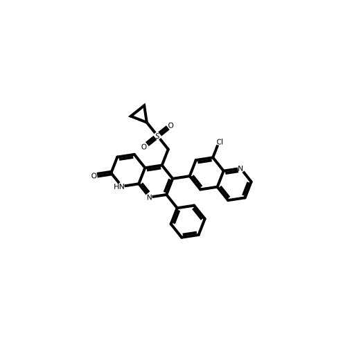 O=c1ccc2c(CS(=O)(=O)C3CC3)c(-c3cc(Cl)c4ncccc4c3)c(-c3ccccc3)nc2[nH]1